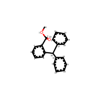 COC(=O)c1ccccc1C(c1ccccc1)c1ccccc1